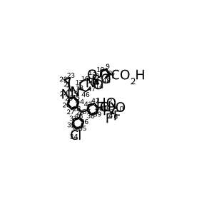 O=C(O)C(F)(F)F.O=C(O)c1ccc(S(=O)(=O)N2CCC(n3c(C4CC4)nc4ccc(C(c5ccc(Cl)cc5)c5ccc(Cl)cc5)cc43)CC2)o1